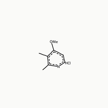 COc1ccnc(C)c1C.Cl